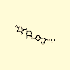 NC(Cc1ccc(Oc2ccc(/C=C3/SC(=O)NC3=O)cc2F)cc1)C(=O)O